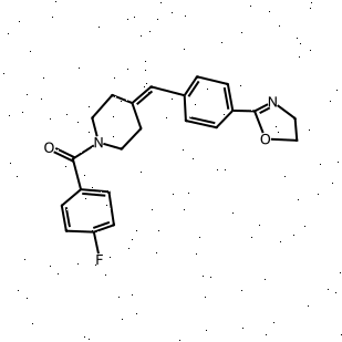 O=C(c1ccc(F)cc1)N1CCC(=Cc2ccc(C3=NCCO3)cc2)CC1